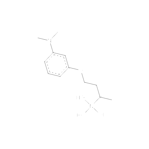 CC(CCOc1cccc(N(C)C)c1)[N+](O)(O)O